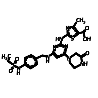 CCS(=O)(=O)Nc1ccc(CNc2cc(N3CCNC(=O)C3)nc(Nc3nc(C)c(C(=O)O)s3)n2)cc1